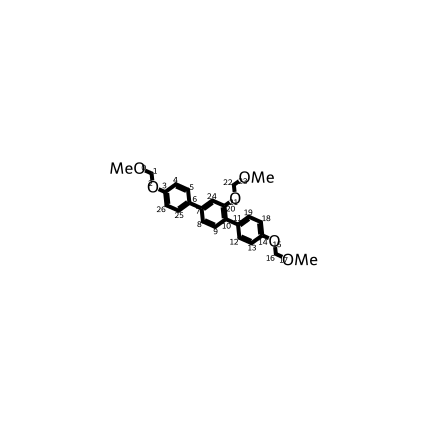 COCOc1ccc(-c2ccc(-c3ccc(OCOC)cc3)c(OCOC)c2)cc1